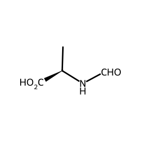 C[C@@H](NC=O)C(=O)O